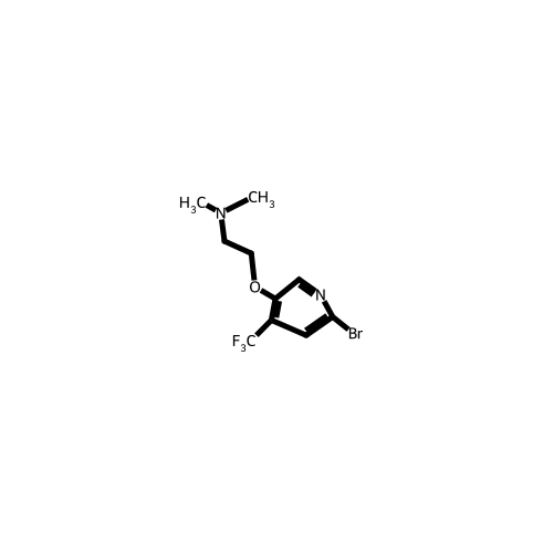 CN(C)CCOc1cnc(Br)cc1C(F)(F)F